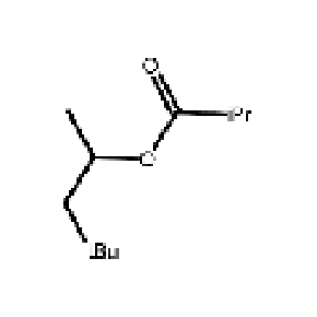 CC(CC(C)(C)C)OC(=O)C(C)C